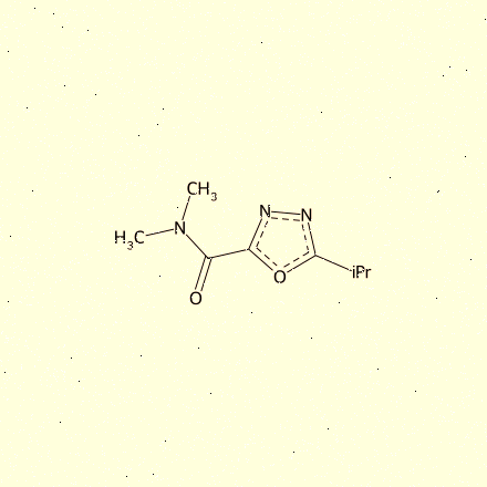 CC(C)c1nnc(C(=O)N(C)C)o1